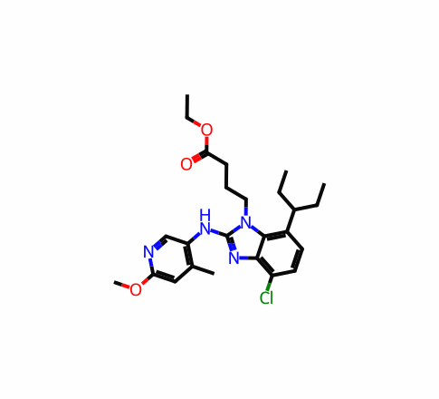 CCOC(=O)CCCn1c(Nc2cnc(OC)cc2C)nc2c(Cl)ccc(C(CC)CC)c21